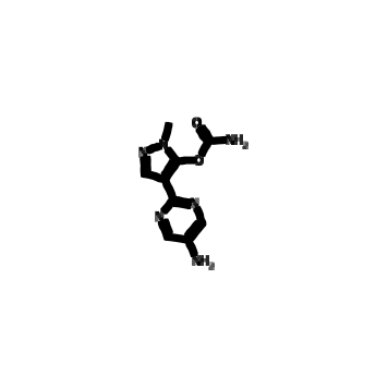 Cn1ncc(-c2ncc(N)cn2)c1OC(N)=O